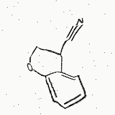 N#CC1COc2ccccc21